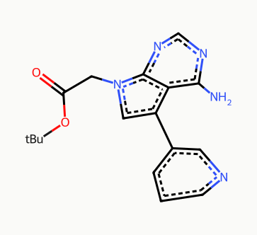 CC(C)(C)OC(=O)Cn1cc(-c2cccnc2)c2c(N)ncnc21